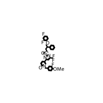 COc1ccc(Cn2cc(-c3cc(C(F)F)nc([S+]([O-])CCC(COc4ccc(F)cc4F)c4ccccc4)n3)ccc2=O)cc1F